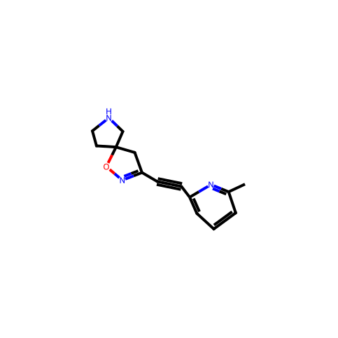 Cc1cccc(C#CC2=NOC3(CCNC3)C2)n1